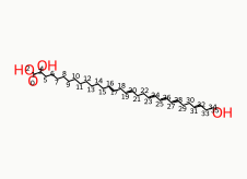 O=C(O)C(O)CCCCCCCCCCCC=CCC=CCCC=CC=CC=CCCC=CCCO